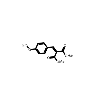 CCCOc1ccc(C=C(C(=O)OC)C(=O)OC)cc1